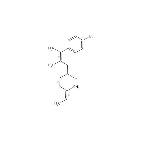 C/C=C(C)\C=C/C(CCC)C/C(C)=C(/N)c1ccc(CC)cc1